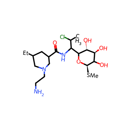 CCC1CC(C(=O)NC(C(C)Cl)C2O[C@H](SC)C(O)[C@H](O)[C@H]2O)CN(CCN)C1